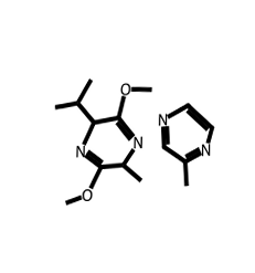 COC1=NC(C(C)C)C(OC)=NC1C.Cc1cnccn1